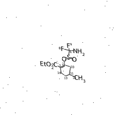 CCOC(=O)C1=C(OS(=O)C(N)(F)F)CC(C)CC1